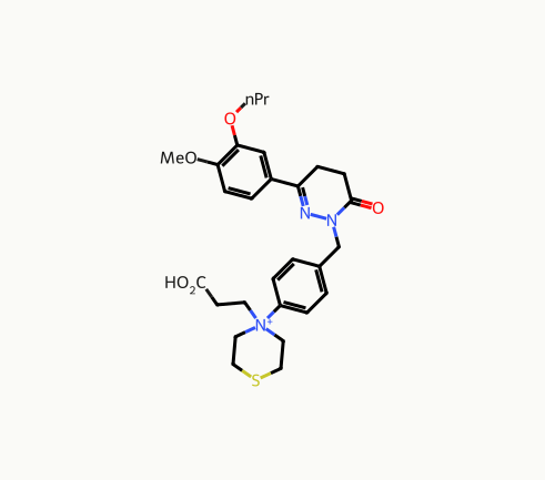 CCCOc1cc(C2=NN(Cc3ccc([N+]4(CCC(=O)O)CCSCC4)cc3)C(=O)CC2)ccc1OC